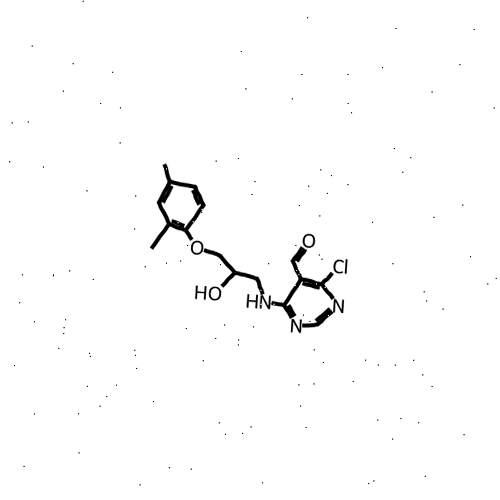 Cc1ccc(OCC(O)CNc2ncnc(Cl)c2C=O)c(C)c1